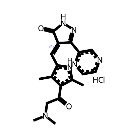 Cc1[nH]c(/C=C2/C(=O)NN=C2c2cnccn2)c(C)c1C(=O)CN(C)C.Cl